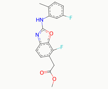 COC(=O)Cc1ccc2nc(Nc3cc(F)ccc3C)oc2c1F